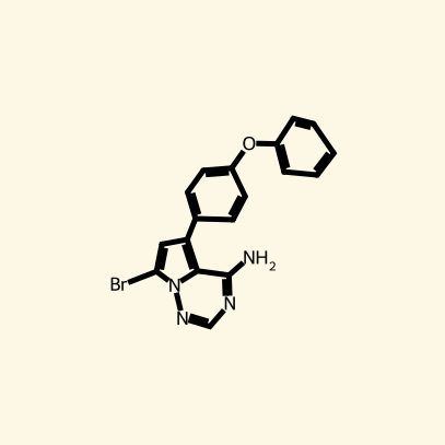 Nc1ncnn2c(Br)cc(-c3ccc(Oc4ccccc4)cc3)c12